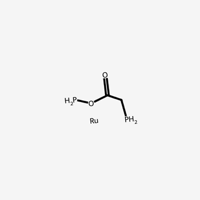 O=C(CP)OP.[Ru]